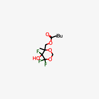 CCC(C)C(=O)OCC1(C)OCOC(F)(F)C1(O)F